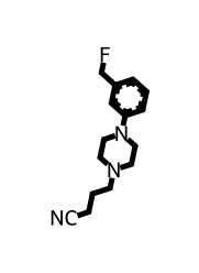 N#CCCCN1CCN(c2cccc(CF)c2)CC1